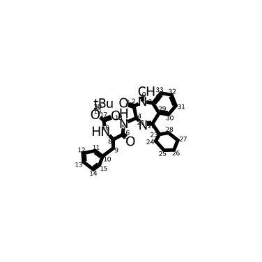 CN1C(=O)C(NC(=O)C(Cc2ccccc2)NC(=O)OC(C)(C)C)N=C(C2CCCCC2)c2ccccc21